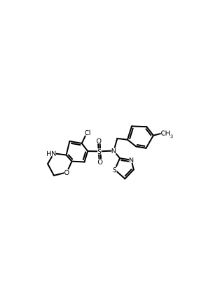 Cc1ccc(CN(c2nccs2)S(=O)(=O)c2cc3c(cc2Cl)NCCO3)cc1